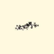 COc1cc(CCN(C)CCN(C)C)ccc1-c1ccc(C(=O)NS(=O)(=O)c2ccc(N[C@H](CCCCNC(=O)O)CSc3ccccc3)c([N+](=O)[O-])c2)cc1